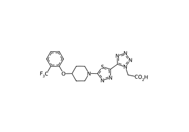 O=C(O)Cn1nnnc1-c1nnc(N2CCC(Oc3ccccc3C(F)(F)F)CC2)s1